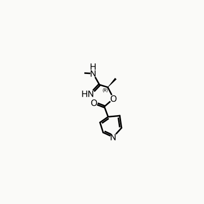 CNC(=N)[C@@H](C)OC(=O)c1ccncc1